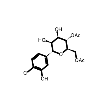 CC(=O)OC[C@H]1O[C@H](c2ccc(Cl)c(O)c2)[C@@H](O)[C@@H](O)[C@@H]1OC(C)=O